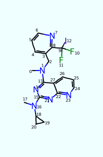 CN(Cc1cccnc1C(F)(F)I)c1nc(N(C)C2CC2)nc2ncccc12